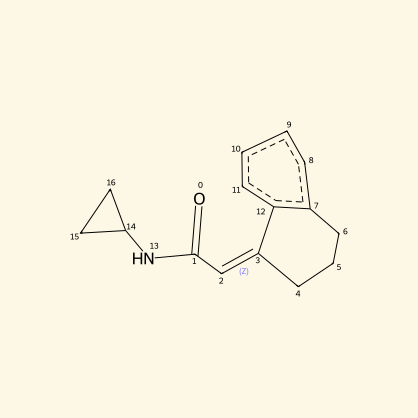 O=C(/C=C1/CCCc2ccccc21)NC1CC1